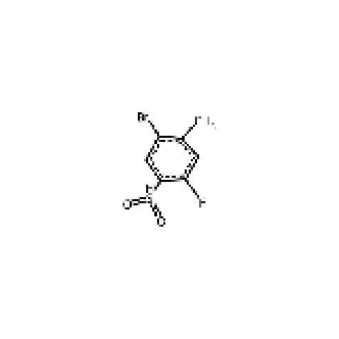 Cc1cc(F)c([SH](=O)=O)cc1Br